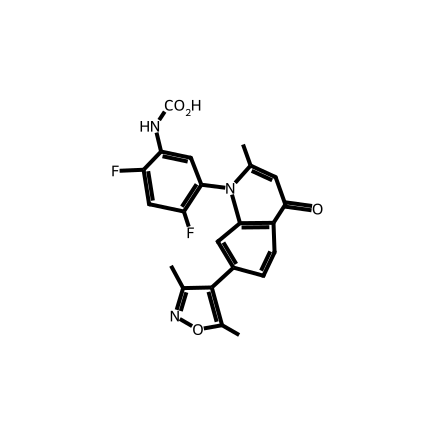 Cc1noc(C)c1-c1ccc2c(=O)cc(C)n(-c3cc(NC(=O)O)c(F)cc3F)c2c1